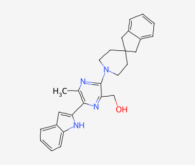 Cc1nc(N2CCC3(CC2)Cc2ccccc2C3)c(CO)nc1-c1cc2ccccc2[nH]1